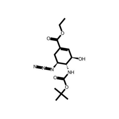 CCOC(=O)C1=C[C@@H](O)[C@H](NC(=O)OC(C)(C)C)[C@@H](N=[N+]=[N-])C1